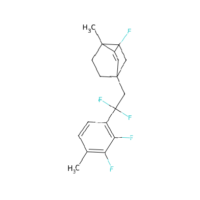 Cc1ccc(C(F)(F)CC23C=C(F)C(C)(CC2)CC3)c(F)c1F